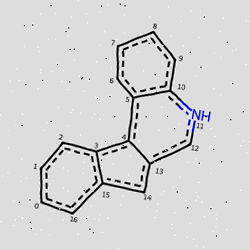 c1ccc2c3c4ccccc4[nH]cc-3cc2c1